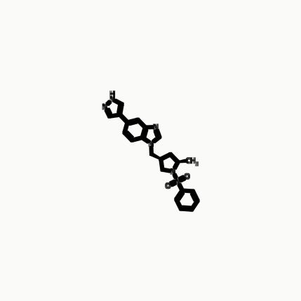 C[C@@H]1C[C@H](Cn2cnc3cc(-c4cn[nH]c4)ccc32)CN1S(=O)(=O)c1ccccc1